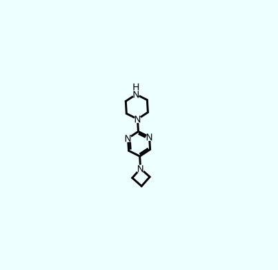 c1nc(N2CCNCC2)ncc1N1CCC1